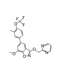 COc1cc(-c2ccc(OC(F)(F)F)c(C)c2)cc2c(OCc3ncccn3)noc12